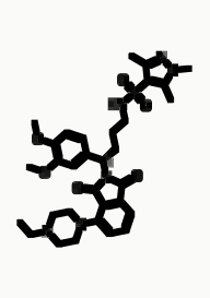 CCN1CCN(c2cccc3c2C(=O)N([C@H](CCCNS(=O)(=O)c2c(C)nn(C)c2C)c2ccc(OC)c(OC)c2)C3=O)CC1